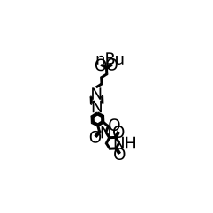 CCCCOC(=O)CCCCN1CCN(c2ccc3c(c2)C(=O)N(C2CCC(=O)NC2=O)C3=O)CC1